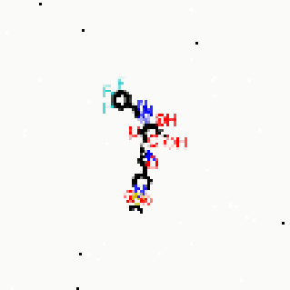 CO[C@@H]1[C@@H](n2cc(-c3cc(F)c(F)c(F)c3)nn2)[C@@H](O)[C@@H](CO)O[C@@H]1Cc1cc(C2CCN(S(=O)(=O)C(C)C)CC2)on1